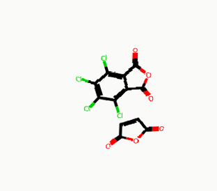 O=C1C=CC(=O)O1.O=C1OC(=O)c2c(Cl)c(Cl)c(Cl)c(Cl)c21